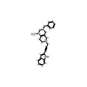 CN1CN(Cc2ccccc2)CC2=C1CCN(CC#Cc1cc3ccccc3[nH]1)C2